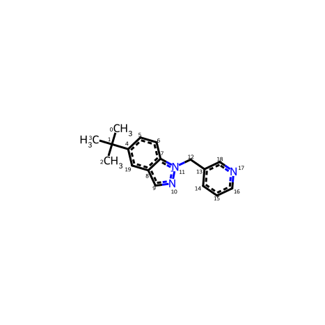 CC(C)(C)c1ccc2c(cnn2Cc2cccnc2)c1